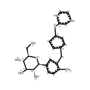 Cc1ccc([C@@H]2O[C@H](CO)[C@@H](O)C(O)[C@H]2O)cc1Cc1ccc(Oc2cnccn2)cc1